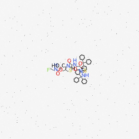 O=C(NCCF)OCC1=C(C(=O)O)N2C(=O)C(NC(=O)C(OC(c3ccccc3)(c3ccccc3)c3ccccc3)c3csc(NC(c4ccccc4)(c4ccccc4)c4ccccc4)n3)[C@@H]2SC1